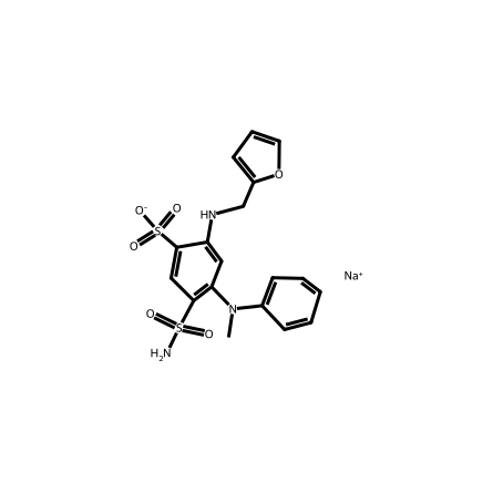 CN(c1ccccc1)c1cc(NCc2ccco2)c(S(=O)(=O)[O-])cc1S(N)(=O)=O.[Na+]